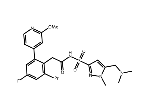 COc1cc(-c2cc(F)cc(C(C)C)c2CC(=O)NS(=O)(=O)c2cc(CN(C)C)n(C)n2)ccn1